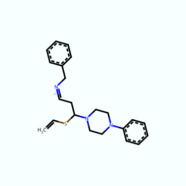 C=CSC(C/C=N\Cc1ccccc1)N1CCN(c2ccccc2)CC1